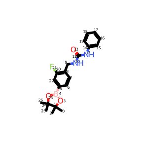 CC1(C)OB(c2ccc(CNC(=O)Nc3ccccc3)c(F)c2)OC1(C)C